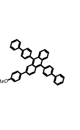 COc1ccc(-c2ccc3c(-c4ccc(-c5ccccc5)cc4)c4ccccc4c(-c4ccc(-c5ccccc5)cc4)c3c2)cc1